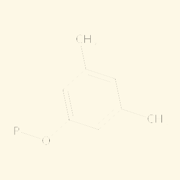 Cc1cc(C)cc(O[P])c1